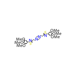 COc1cc(-c2nc(CCN3CCN(CCc4csc(-c5cc(OC)c(OC)c(OC)c5)n4)CC3)cs2)cc(OC)c1OC